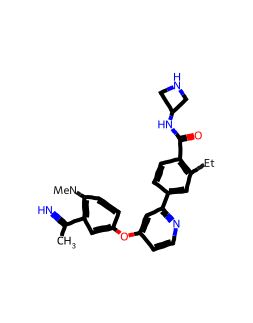 CCc1cc(-c2cc(Oc3ccc(NC)c(C(C)=N)c3)ccn2)ccc1C(=O)NC1CNC1